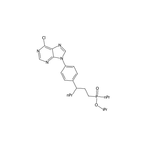 CCCC(CCP(=O)(CCC)OC(C)C)c1ccc(-n2cnc3c(Cl)ncnc32)cc1